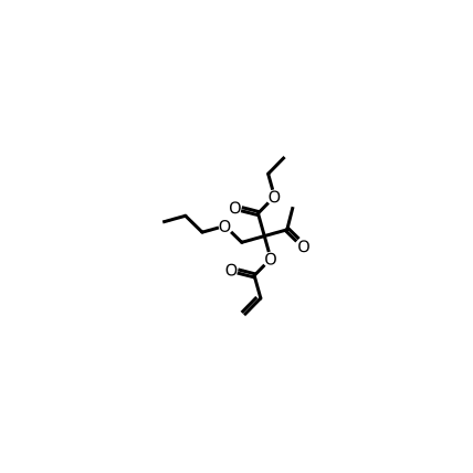 C=CC(=O)OC(COCCC)(C(C)=O)C(=O)OCC